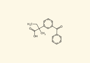 CCC(C)(C(=O)O)c1cccc(C(=O)c2ccccc2)c1